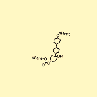 CCCCCCCOc1ccc(-c2ccc(C3(O)CCC(OC(=O)OCCCCC)CC3)cc2)cc1